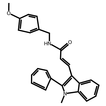 COc1ccc(CNC(=O)C=Cc2c(-c3ccccc3)n(C)c3ccccc23)cc1